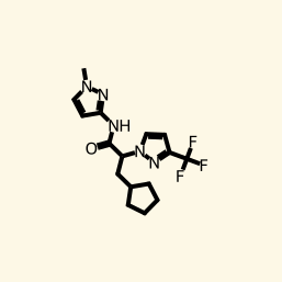 Cn1ccc(NC(=O)C(CC2CCCC2)n2ccc(C(F)(F)F)n2)n1